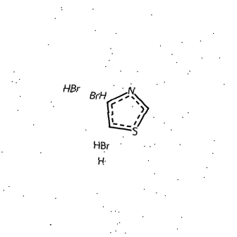 Br.Br.Br.[H].c1cscn1